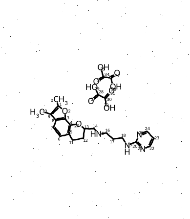 Cc1oc2c3c(ccc2c1C)CCC(CNCCCNc1ncccn1)O3.O=C(O)C(=O)O.O=C(O)C(=O)O